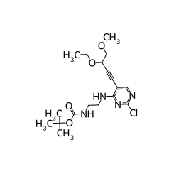 CCOC(C#Cc1cnc(Cl)nc1NCCNC(=O)OC(C)(C)C)COC